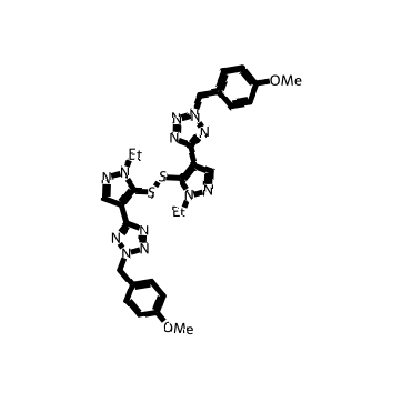 CCn1ncc(-c2nnn(Cc3ccc(OC)cc3)n2)c1SSc1c(-c2nnn(Cc3ccc(OC)cc3)n2)cnn1CC